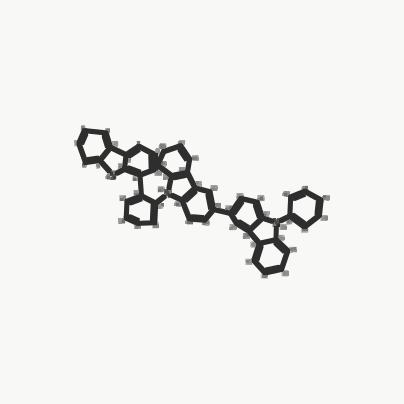 c1cc2c(sc3ccccc32)c(-c2ccccc2-n2c3c(c4cc(-c5ccc6c(c5)c5ccccc5n6-c5ccccc5)ccc42)C=CCC3)c#1